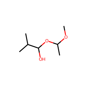 COC(C)OC(O)C(C)C